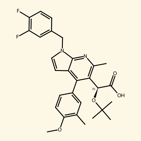 COc1ccc(-c2c([C@H](OC(C)(C)C)C(=O)O)c(C)nc3c2ccn3Cc2ccc(F)c(F)c2)cc1C